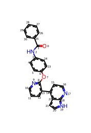 O=C(Nc1ccc(Oc2ncccc2-c2ccnc3[nH]ccc23)cc1)c1ccccc1